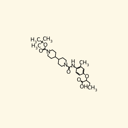 CCC(Oc1ccc(NC(=O)N2CCC(C3CCN(C(=O)OC(C)(C)C)CC3)CC2)c(C)c1)C(=O)O